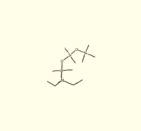 CCN(CC)[Si](C)(C)O[Si](C)(C)O[Si](C)(C)C